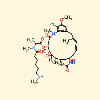 CNCCCCCC(=O)N(C)[C@@H](C)C(=O)O[C@H]1CC(=O)N(C)c2cc(cc(OC)c2Cl)C/C(C)=C/C=C/C[C@@]2(O)C[C@H](OC(=O)N2)[C@@H](C)[C@@H]2O[C@@]12C